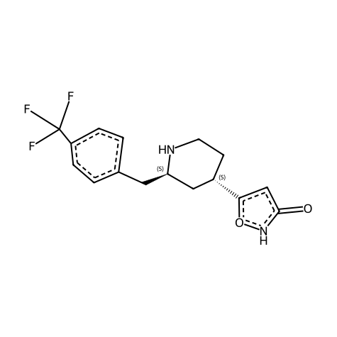 O=c1cc([C@H]2CCN[C@H](Cc3ccc(C(F)(F)F)cc3)C2)o[nH]1